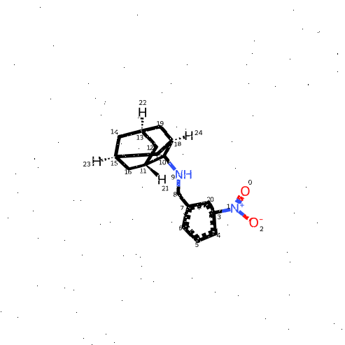 O=[N+]([O-])c1cccc(CNC2[C@H]3C[C@H]4C[C@H](C3)C[C@H]2C4)c1